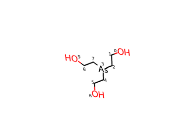 OCC[As](CCO)CCO